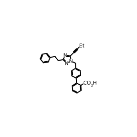 CCC#Cc1nc(CCc2ccccc2)nn1Cc1ccc(-c2ccccc2C(=O)O)cc1